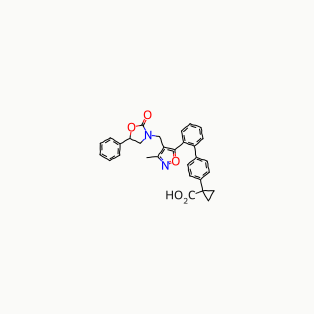 Cc1noc(-c2ccccc2-c2ccc(C3(C(=O)O)CC3)cc2)c1CN1CC(c2ccccc2)OC1=O